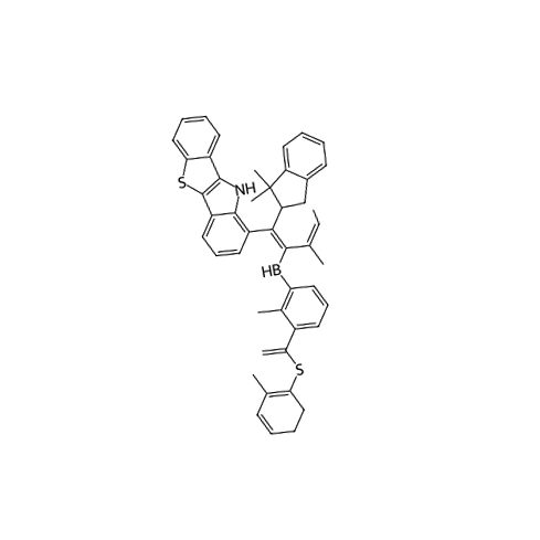 C=C(SC1=C(C)C=CCC1)c1cccc(BC(/C(C)=C\C)=C(\c2cccc3c2[nH]c2c4ccccc4sc32)C2Cc3ccccc3C2(C)C)c1C